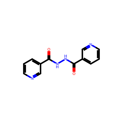 O=C(NNC(=O)c1cccnc1)c1cccnc1